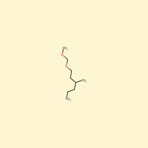 CCCC(C)CCOCOC